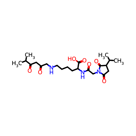 CC(C)C(=O)CC(=O)CNCCCCC(NC(=O)CN1C(=O)CC(C(C)C)C1=O)C(=O)O